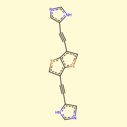 C(#Cc1csc2c(C#Cc3cnc[nH]3)csc12)c1cnc[nH]1